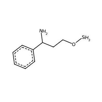 NC(CCO[SiH3])c1ccccc1